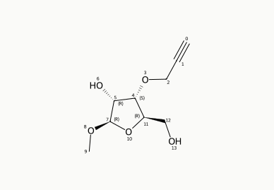 C#CCO[C@H]1[C@@H](O)[C@H](OC)O[C@@H]1CO